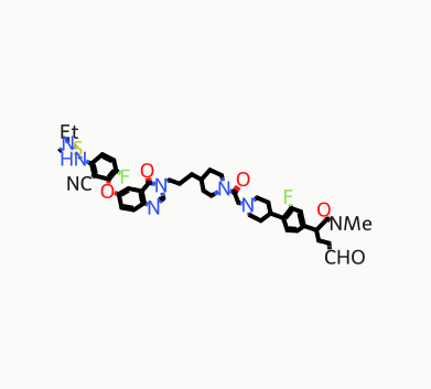 CCN(C)SNc1ccc(F)c(Oc2ccc3ncn(CCCC4CCN(C(=O)CN5CCC(c6ccc(C(CCC=O)C(=O)NC)cc6F)CC5)CC4)c(=O)c3c2)c1C#N